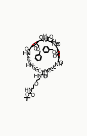 CC(C)(C)OC(=O)NCCOCCNC(=O)C1CCCNCCCNC(=O)C2=CC=C(C(=O)N[C@@H]3COC[C@@H]3NC(=O)c3ccc(c(=O)n3OCc3ccccc3)C(=O)NCCCN1)C(COCc1ccccc1)C2=O